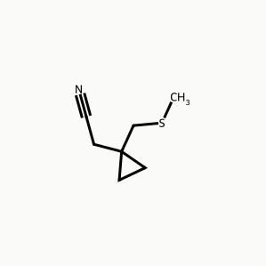 CSCC1(CC#N)CC1